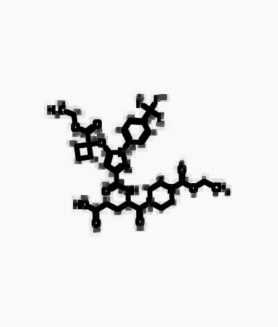 CCOC(=O)N1CCN(C(=O)C(CCC(=O)O)NC(=O)c2cc(OC3(C(=O)OCC)CCC3)n(-c3ccc(C(F)(F)F)cc3)n2)CC1